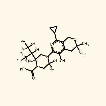 [2H]C1([2H])CN(C(=O)CCC)[C@]([2H])(C([2H])(C([2H])([2H])[2H])C([2H])([2H])[2H])CN1c1nc(C2CC2)c2c(c1C#N)CC(C)(C)OC2